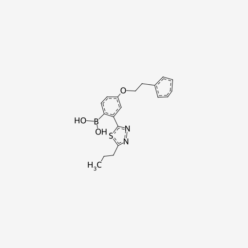 CCCc1nnc(-c2cc(OCCc3ccccc3)ccc2B(O)O)s1